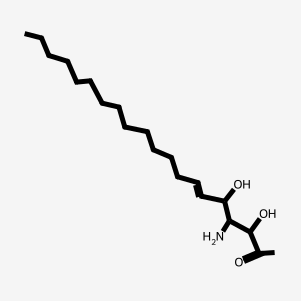 CCCCCCCCCCCCCC=CC(O)C(N)C(O)C(C)=O